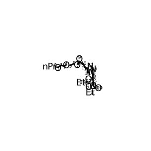 CCCOCCOCCOC(=O)CCc1cn(CC(COC(=O)CC)OC(=O)CC)nn1